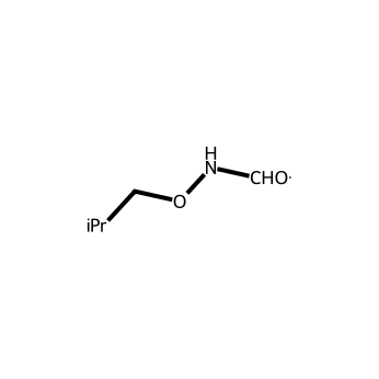 CC(C)CON[C]=O